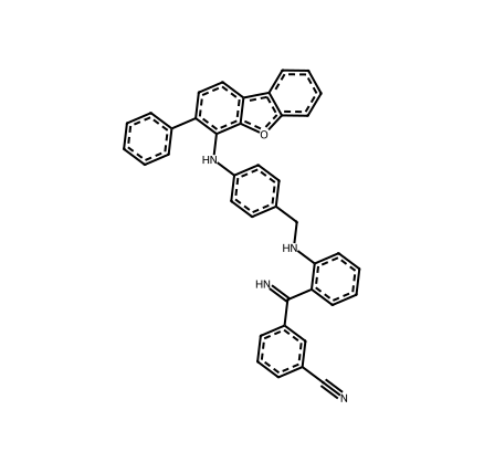 N#Cc1cccc(C(=N)c2ccccc2NCc2ccc(Nc3c(-c4ccccc4)ccc4c3oc3ccccc34)cc2)c1